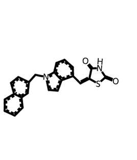 O=C1NC(=O)C(=Cc2cccc3c2ccn3Cc2ccc3ccccc3c2)S1